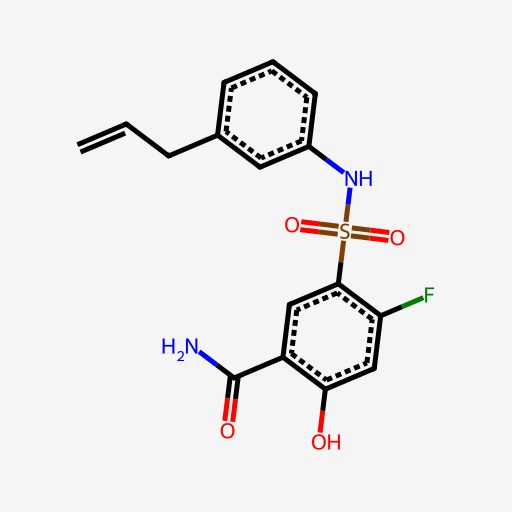 C=CCc1cccc(NS(=O)(=O)c2cc(C(N)=O)c(O)cc2F)c1